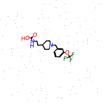 O=C(O)NCCC1CCN(Cc2cccc(OC(F)(F)F)c2)CC1